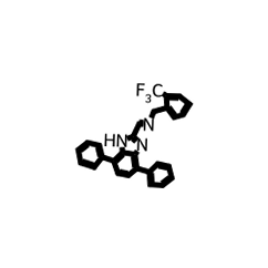 FC(F)(F)c1ccccc1C/N=C/c1nc2c(-c3ccccc3)ccc(-c3ccccc3)c2[nH]1